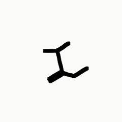 C=C(CC)[C](C)C